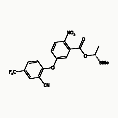 CS[C@@H](C)OC(=O)c1cc(Oc2ccc(C(F)(F)F)cc2C#N)ccc1[N+](=O)[O-]